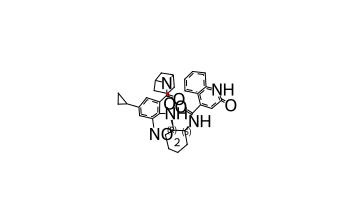 O=C1CC2CC(C1)N2C(=O)c1cc(C2CC2)cc([N+](=O)[O-])c1N[C@@H]1CCCC[C@@H]1NC(=O)c1cc(=O)[nH]c2ccccc12